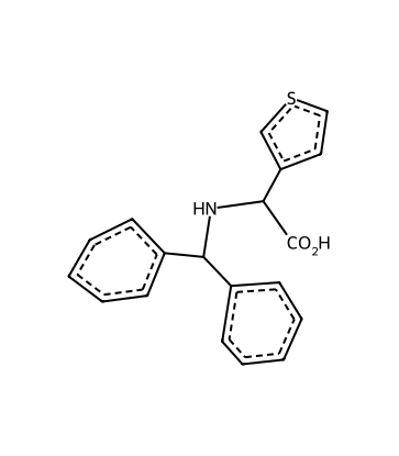 O=C(O)C(NC(c1ccccc1)c1ccccc1)c1ccsc1